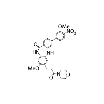 COc1cc2c(cc1CCC(=O)N1CCOCC1)Nc1cc(-c3ccc([N+](=O)[O-])c(OC)c3)ccc1C(=O)N2